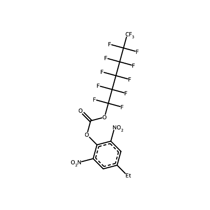 CCc1cc([N+](=O)[O-])c(OC(=O)OC(F)(F)C(F)(F)C(F)(F)C(F)(F)C(F)(F)C(F)(F)F)c([N+](=O)[O-])c1